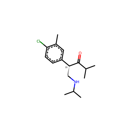 Cc1cc([C@@H](CNC(C)C)C(=O)C(C)C)ccc1Cl